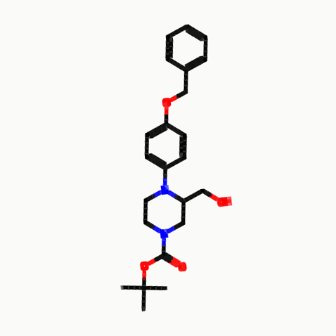 CC(C)(C)OC(=O)N1CCN(c2ccc(OCc3ccccc3)cc2)C(CO)C1